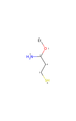 CCOC(N)CCS